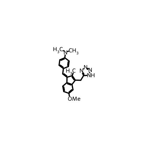 COc1ccc2c(c1)C(Cc1nnn[nH]1)=C(C)C2=Cc1ccc(N(C)C)cc1